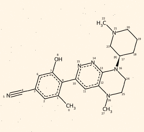 Cc1cc(C#N)cc(O)c1-c1cc2c(nn1)N([C@@H]1CCCN(C)C1)CCN2C